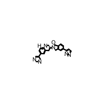 Cn1nccc1-c1ccc2c(c1)CN([C@H](CN)Cc1cccc(-c3cncnc3)c1)C2=O